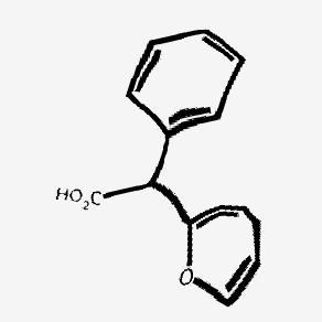 O=C(O)C(c1ccccc1)c1ccco1